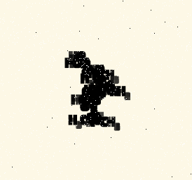 Cc1cc(SCC2=C(C(=O)O)N3C(=O)C(NC(=O)C(=NOC(C)(C)C(=O)NNC(=O)c4ccc(O)c(O)c4)c4csc(N)n4)[C@@H]3SC2)n2nc(C)cc2n1